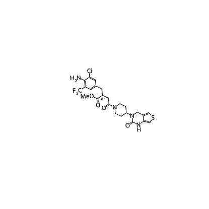 COC(=O)[C@H](CC(=O)N1CCC(N2Cc3cscc3NC2=O)CC1)Cc1cc(Cl)c(N)c(C(F)(F)F)c1